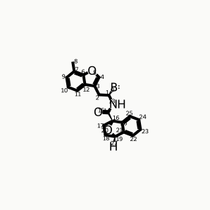 [B][C@H](Cc1coc2c(C)cccc12)NC(=O)[C@]12CC[C@H](O1)c1ccccc12